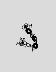 CCOc1cc(CN2CCC3(CC2)CN(c2ccc(C(=O)O)cc2)C3)ccc1F.O=C(O)C(F)(F)F